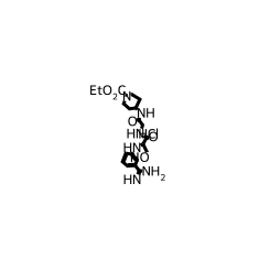 CCOC(=O)N1CCC(NC(=O)CNC(=O)C(CO)Nc2cccc(C(=N)N)c2)CC1.Cl